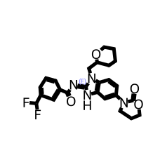 O=C(/N=c1\[nH]c2cc(N3CCCOC3=O)ccc2n1CC1CCCCO1)c1cccc(C(F)F)c1